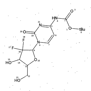 CC(C)(C)OC(=O)Nc1ccn(C2OC(CO)C(O)C2(F)F)c(=O)n1